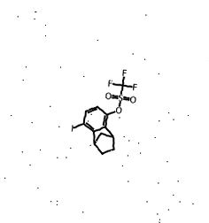 O=S(=O)(Oc1ccc(I)c2c1C1CCC2C1)C(F)(F)F